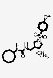 COc1ccc(S(=O)(=O)N2CCC(CNC(=O)N[C]3CCCCCCC3)C2)cc1.[CH2].[CH2]